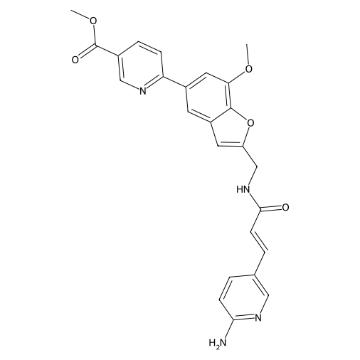 COC(=O)c1ccc(-c2cc(OC)c3oc(CNC(=O)/C=C/c4ccc(N)nc4)cc3c2)nc1